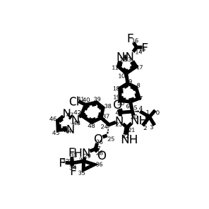 CC(C)(C)C[C@]1(c2ccc(-c3cnn(C(F)F)c3)cc2)NC(=N)N([C@H](COC(=O)NC2(C(F)(F)F)CC2)c2ccc(Cl)c(-n3nccn3)c2)C1=O